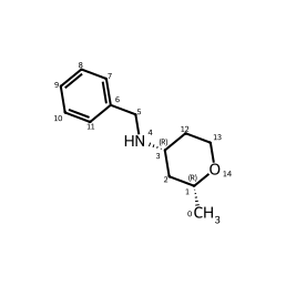 C[C@@H]1C[C@H](NCc2ccccc2)CCO1